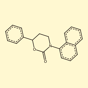 O=C1OC(c2ccccc2)CCN1c1cccc2ccccc12